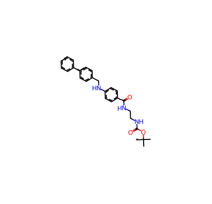 CC(C)(C)OC(=O)NCCNC(=O)c1ccc(NCc2ccc(-c3ccccc3)cc2)cc1